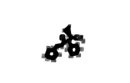 CC(C1CC1)N(C(=O)/C=C/c1ccccc1)c1ccccc1